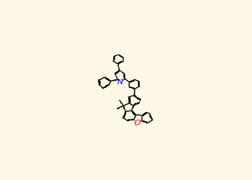 CC1(C)c2cc(-c3cccc(-c4cc(-c5ccccc5)cc(-c5ccccc5)n4)c3)ccc2-c2c1ccc1oc3ccccc3c21